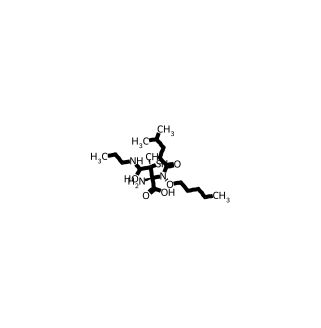 CCCCCON(C(=O)CCC(C)C)[C@](N)(C(=O)O)[C@](C)(S)C(O)NCCC